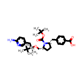 CC(C)(C)OC(=O)N1[C@@H](CO[Si@](C)(Cc2ccc(N)nc2)C(C)(C)C)CC[C@H]1Cc1ccc(C(=O)O)cc1